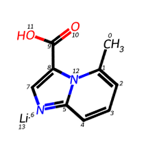 Cc1cccc2ncc(C(=O)O)n12.[Li]